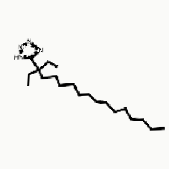 CCCCCCCCCCCCCCC(CC)(CC)c1nnn[nH]1